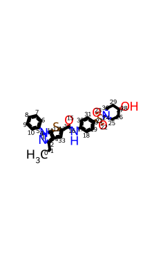 CCc1nn(-c2ccccc2)c2sc(C(=O)Nc3ccc(S(=O)(=O)N4CCC(O)CC4)cc3)cc12